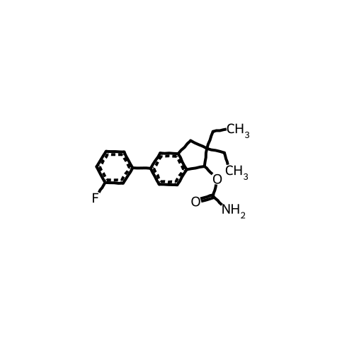 CCC1(CC)Cc2cc(-c3cccc(F)c3)ccc2C1OC(N)=O